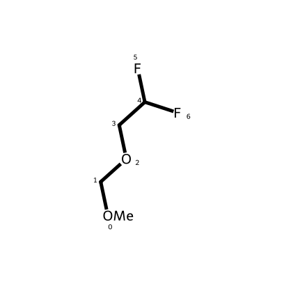 COCOCC(F)F